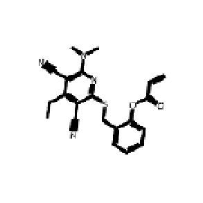 C=CC(=O)Oc1ccccc1CSc1nc(N(C)C)c(C#N)c(CC)c1C#N